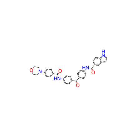 O=C(Nc1ccc(C(=O)c2ccc(NC(=O)c3ccc4[nH]ccc4c3)cc2)cc1)c1ccc(N2CCOCC2)cc1